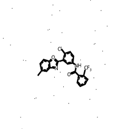 Cc1ccc2oc(-c3cc(NC(=O)c4ccccc4C(F)(F)F)ccc3Cl)nc2c1